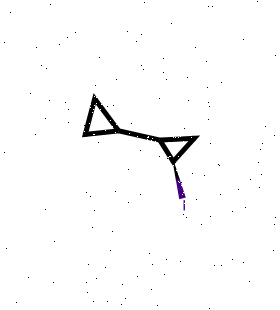 I[C@@H]1CC1C1CC1